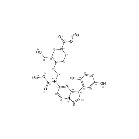 CC(C)(C)OC(=O)N1CCN(CCN(C(=O)OC(C)(C)C)c2ccn3ncc(-c4cc(O)ccc4F)c3n2)[C@H](CO)C1